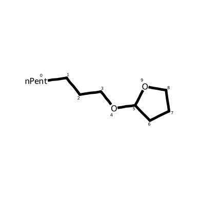 CCCCCCCCOC1CCCO1